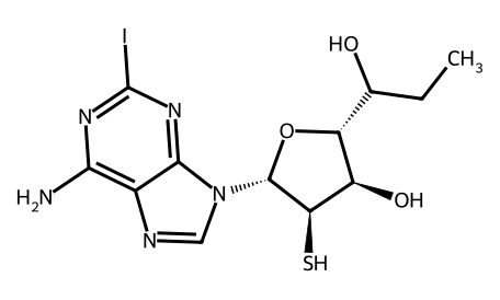 CCC(O)[C@H]1O[C@@H](n2cnc3c(N)nc(I)nc32)[C@H](S)[C@@H]1O